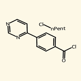 CCCCCCl.O=C(Cl)c1ccc(-c2ccncn2)cc1